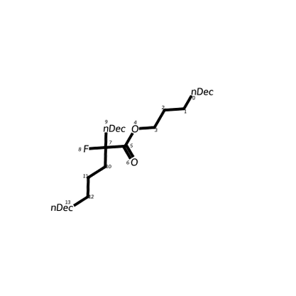 CCCCCCCCCCCCCOC(=O)C(F)(CCCCCCCCCC)CCCCCCCCCCCCC